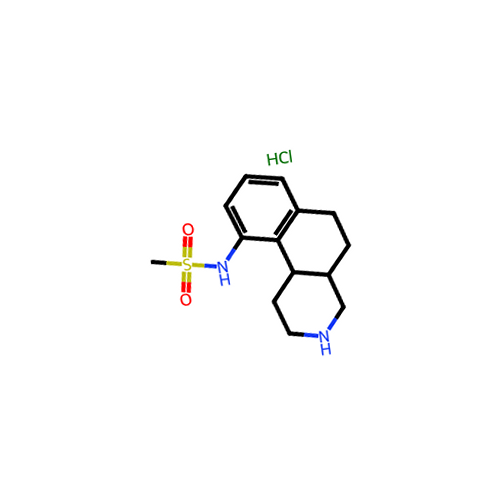 CS(=O)(=O)Nc1cccc2c1C1CCNCC1CC2.Cl